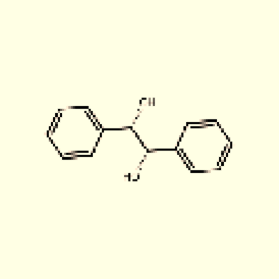 O[C@@H](c1ccccc1)[C@@H](O)c1ccccc1